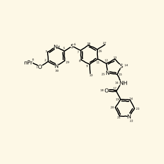 CCCOc1cnc(Sc2cc(C)c(-c3csc(NC(=O)c4ccncc4)n3)c(C)c2)cn1